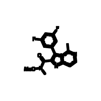 CON(C)C(=O)c1nc2ccnc(C)n2c1-c1cc(F)cc(F)c1